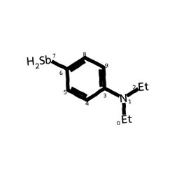 CCN(CC)c1cc[c]([SbH2])cc1